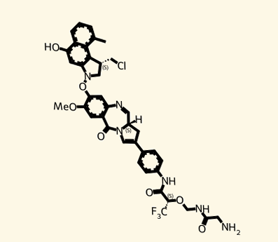 COc1cc2c(cc1ON1C[C@@H](CCl)c3c1cc(O)c1cccc(C)c31)N=C[C@@H]1CC(c3ccc(NC(=O)[C@H](OCNC(=O)CN)C(F)(F)F)cc3)=CN1C2=O